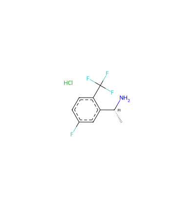 C[C@@H](N)c1cc(F)ccc1C(F)(F)F.Cl